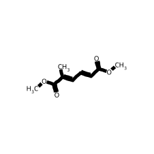 COC(=O)/C=C/C=C(\C)C(=O)OC